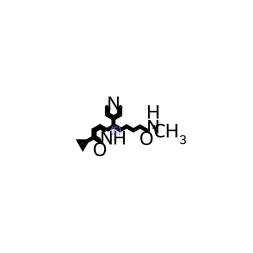 CNC(=O)CCC/C=C(\c1ccncc1)c1ccc(C2CC2)c(=O)[nH]1